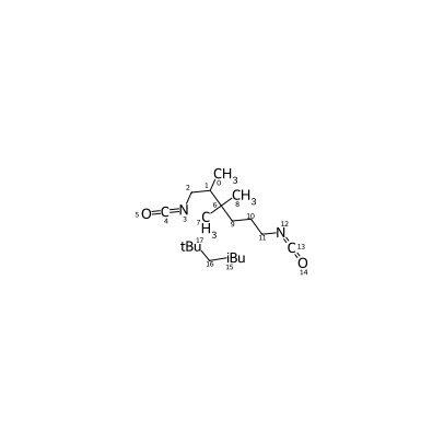 CC(CN=C=O)C(C)(C)CCCN=C=O.CCC(C)CC(C)(C)C